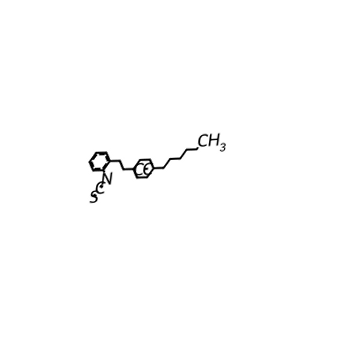 CCCCCCC12CCC(CCc3ccccc3N=C=S)(CC1)CC2